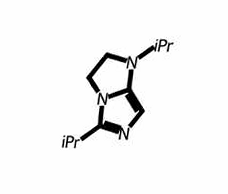 CC(C)c1ncc2n1CCN2C(C)C